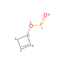 O=POC1C=CC1